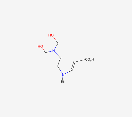 CCN(C=CC(=O)O)C[CH]N(CO)CO